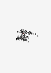 COc1cnc(-c2cc(-c3ccc(F)c([C@]4(C)C[S@](=O)(=NCC(F)(F)F)C(C)(C)C(N)=N4)c3)on2)cn1.O=C(O)C(F)(F)F